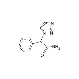 NC(=O)C(c1ccccc1)n1ccnn1